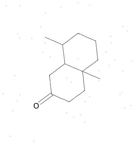 CC1CCCC2(C)CCC(=O)CC12